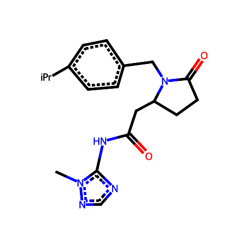 CC(C)c1ccc(CN2C(=O)CCC2CC(=O)Nc2ncnn2C)cc1